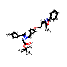 Cc1ccc(CN(CC(=O)OC(C)(C)C)Cc2ccc(OCCc3nc(-c4ccccc4)oc3C)cc2)cc1